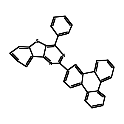 c1ccc(-c2nc(-c3ccc4c5ccccc5c5ccccc5c4c3)nc3c2sc2ccccc23)cc1